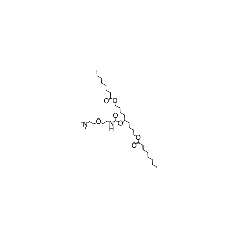 CCCCCCCC(=O)OCCCCC(CCCCOC(=O)CCCCCCC)OC(=O)NCCOCCN(C)C